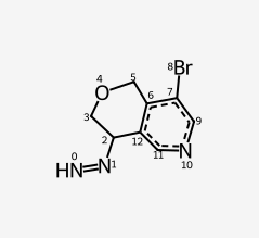 N=NC1COCc2c(Br)cncc21